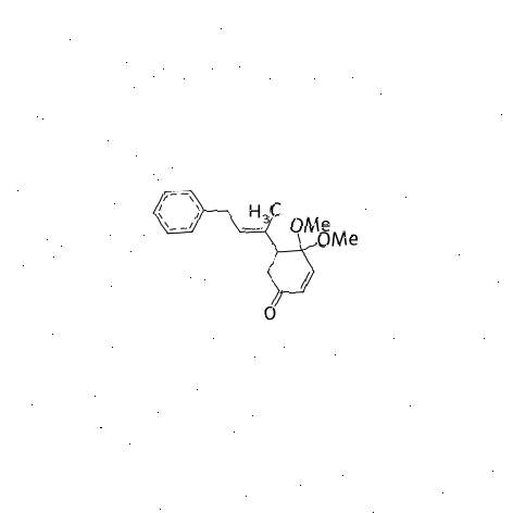 COC1(OC)C=CC(=O)CC1C(C)=CCc1ccccc1